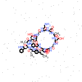 CCCCc1ccc(/C(C)=C/C(=O)N[C@@H](Cc2c[nH]c3ccccc23)C(=O)N[C@H](C)C(=O)N[C@@H](CC(=O)O)C(=O)N[C@@H]2C(=O)NCC(=O)N[C@@H](CCCN)C(=O)N[C@@H](CC=O)C(=O)N[C@H](C)C(=O)N[C@@H](CC(=O)O)C(=O)NCC(=O)N[C@H](CO)C(=O)N[C@@H]([C@H](C)CC(=O)O)C(=O)NC(C(=O)c3ccccc3N)C(=O)O[C@@H]2C)cc1